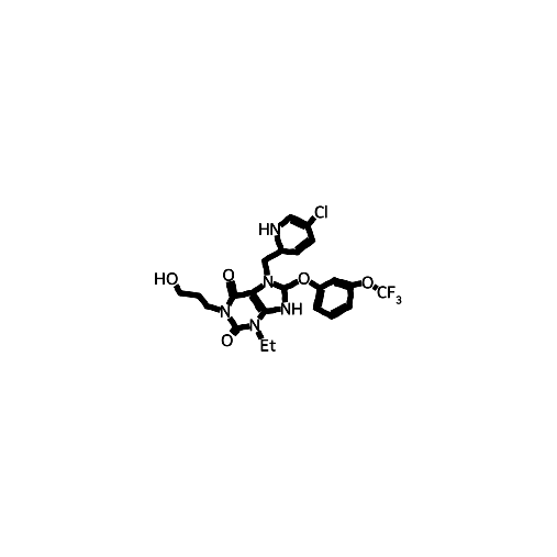 CCn1c2c(c(=O)n(CCCO)c1=O)N(CC1C=CC(Cl)=CN1)C(Oc1cccc(OC(F)(F)F)c1)N2